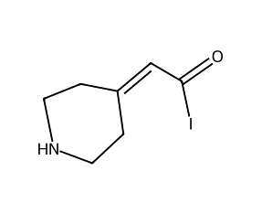 O=C(I)C=C1CCNCC1